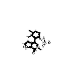 Cc1cccc(-c2cn(C)c(=O)c3[nH]ccc23)c1C.N[SH](=O)=O